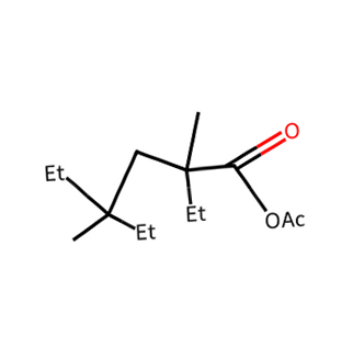 CCC(C)(CC)CC(C)(CC)C(=O)OC(C)=O